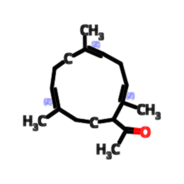 CC(=O)C1CC/C(C)=C\CC/C(C)=C\C/C=C\1C